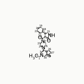 CCN1C=C(N2CCN(C(=O)C3C(=O)NCC3c3ccccc3)CC2)c2ccsc2C1